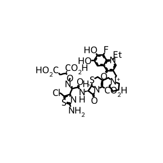 CCn1cc(C[N+]2(CC3=C(C(=O)O)N4C(=O)[C@@H](NC(=O)/C(=N\O[C@@H](CC(=O)O)C(=O)O)c5nc(N)sc5Cl)[C@H]4SC3)CCCC2)c(=O)c2cc(O)c(O)c(F)c21